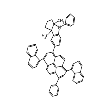 CC12CCCC1(C)N(c1ccccc1)c1ccc(-c3cc(-c4cccc5ccccc45)c4ccc5c(-c6ccccc6)cc(-c6cccc7ccccc67)c6ccc3c4c56)cc12